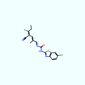 CC\C(F)=C(C#N)/C=C(C)/C=N/C(=O)Nc1nc2ccc(Cl)cc2s1